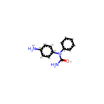 NC(=O)N(c1cc[c]cc1)c1ccc(N)cc1